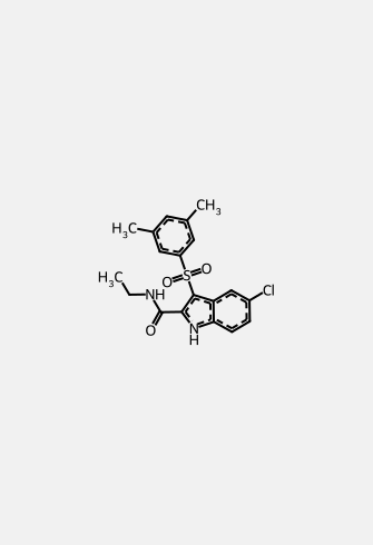 CCNC(=O)c1[nH]c2ccc(Cl)cc2c1S(=O)(=O)c1cc(C)cc(C)c1